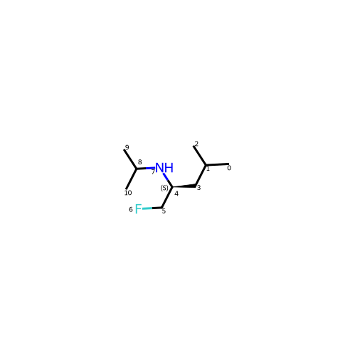 CC(C)C[C@@H](CF)NC(C)C